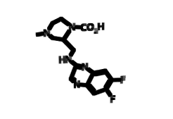 CN1CCN(C(=O)O)C(CNc2cnc3cc(F)c(F)cc3n2)C1